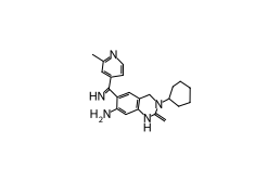 C=C1Nc2cc(N)c(C(=N)c3ccnc(C)c3)cc2CN1C1CCCCC1